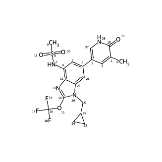 Cc1cc(-c2cc(NS(C)(=O)=O)c3nc(OC(F)(F)F)n(CC4CC4)c3c2)c[nH]c1=O